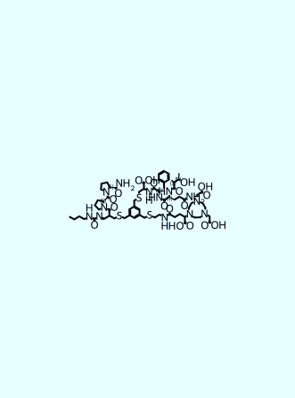 CCCCNC(=O)N=CC(CSCc1cc(CSCCNC(=O)CCC(C(=O)O)N2CCN(CC(=O)O)CCN(CC(=O)O)CC2)cc(CSCC(NC(=O)[C@H](Cc2ccccc2)NC(=O)[C@H](CCC(N)=O)NC(=O)[C@@H](C)[C@@H](C)O)C(=O)O)c1)C(=O)N1CCC[C@H]1C(=O)N1CCC[C@H]1C(N)=O